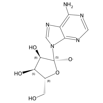 Nc1ncnc2c1ncn2[C@@]1([O])O[C@H](CO)[C@@H](O)[C@H]1O